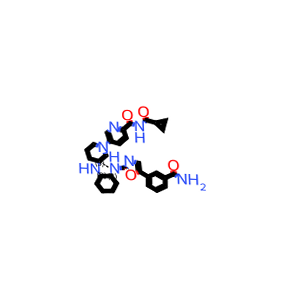 C[C@]1(N[C@@H]2CCCC[C@H]2Nc2ncc(-c3cccc(C(N)=O)c3)o2)CCCN(c2ccc(C(=O)NC(=O)C3CC3)nc2)C1